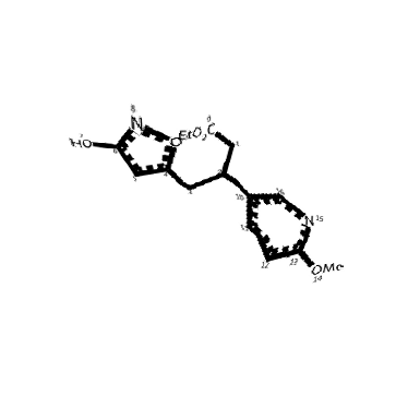 CCOC(=O)CC(Cc1cc(O)no1)c1ccc(OC)nc1